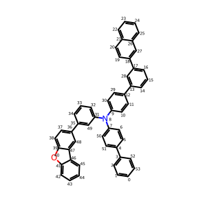 c1ccc(-c2ccc(N(c3ccc(-c4cccc(-c5ccc6ccccc6c5)c4)cc3)c3cccc(-c4ccc5oc6ccccc6c5c4)c3)cc2)cc1